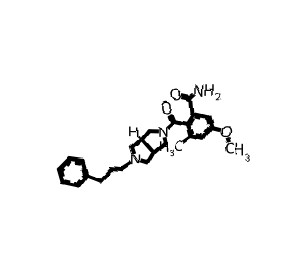 COc1cc(C)c(C(=O)N2CC3CN(CC[CH]c4ccccc4)C[C@H]3C2)c(C(N)=O)c1